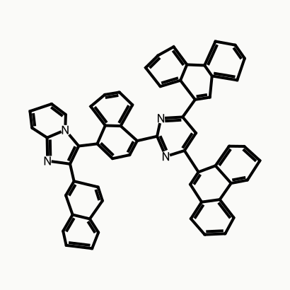 c1ccc2cc(-c3nc4ccccn4c3-c3ccc(-c4nc(-c5cc6ccccc6c6ccccc56)cc(-c5cc6ccccc6c6ccccc56)n4)c4ccccc34)ccc2c1